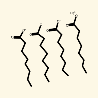 CCCCCCCC(=O)[O-].CCCCCCCC(=O)[O-].CCCCCCCC(=O)[O-].CCCCCCCC(=O)[O-].[Hf+4]